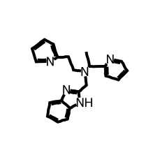 CC(c1ccccn1)N(CCc1ccccn1)Cc1nc2ccccc2[nH]1